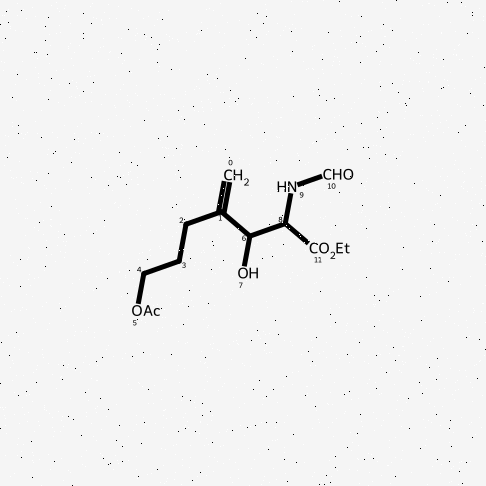 C=C(CCCOC(C)=O)C(O)C(NC=O)C(=O)OCC